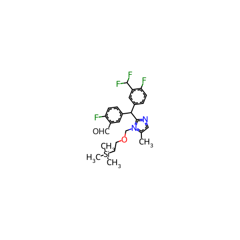 Cc1cnc(C(c2ccc(F)c(C=O)c2)c2ccc(F)c(C(F)F)c2)n1COCC[Si](C)(C)C